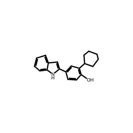 Oc1ccc(-c2cc3ccccc3[nH]2)cc1C1CCCCC1